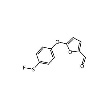 O=Cc1ccc(Oc2ccc(SF)cc2)o1